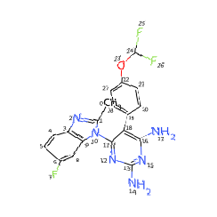 Cc1nc2ccc(F)cc2n1-c1nc(N)nc(N)c1-c1ccc(OC(F)F)cc1